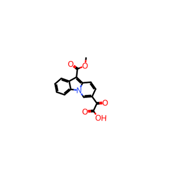 COC(=O)c1c2ccccc2n2cc(C(=O)C(=O)O)ccc12